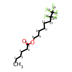 CCCCCC(=O)OCCCCCCC(F)(F)C(F)(F)F